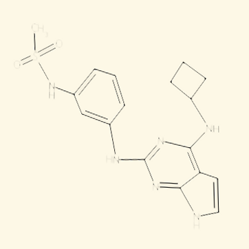 CS(=O)(=O)Nc1cccc(Nc2nc(NC3CCC3)c3cc[nH]c3n2)c1